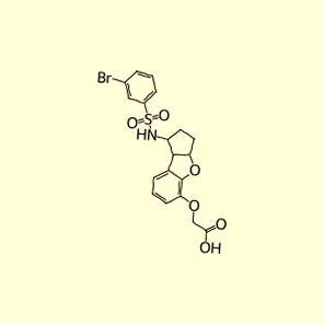 O=C(O)COc1cccc2c1OC1CCC(NS(=O)(=O)c3cccc(Br)c3)C21